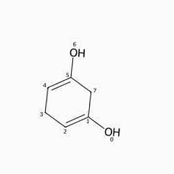 OC1=CCC=C(O)C1